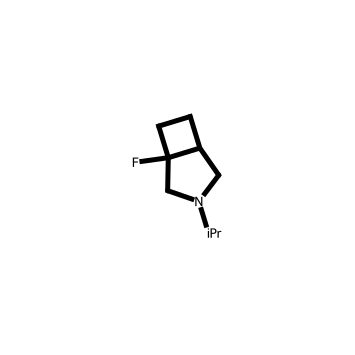 CC(C)N1CC2CCC2(F)C1